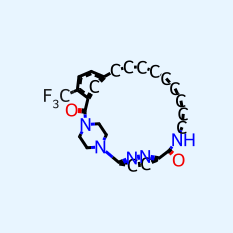 O=C1NCCCCCCCCCc2ccc(C(F)(F)F)c(c2)C(=O)N2CCN(CC2)c2ccc1nn2